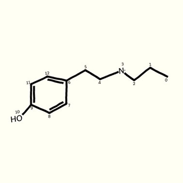 CCC[N]CCc1ccc(O)cc1